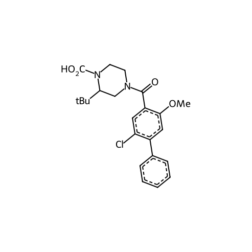 COc1cc(-c2ccccc2)c(Cl)cc1C(=O)N1CCN(C(=O)O)C(C(C)(C)C)C1